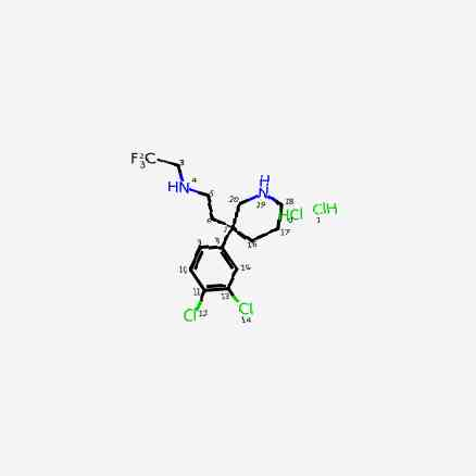 Cl.Cl.FC(F)(F)CNCC[C@]1(c2ccc(Cl)c(Cl)c2)CCCNC1